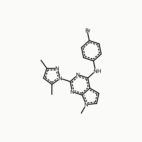 Cc1cc(C)n(-c2nc(Nc3ccc(Br)cc3)c3ccn(C)c3n2)n1